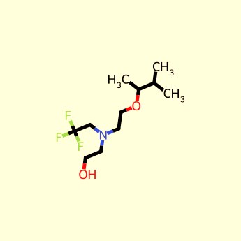 CC(C)C(C)OCCN(CCO)CC(F)(F)F